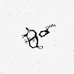 COc1cccc([C@@]23CCN(C)C(=O)[C@@H]2CCC(=O)C3)c1